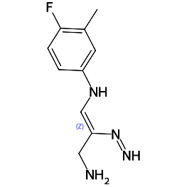 Cc1cc(N/C=C(/CN)N=N)ccc1F